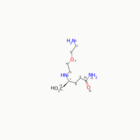 NCCOCCN[C@@H](CCC(N)=O)C(=O)O